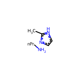 CCCN.Cc1ncc[nH]1